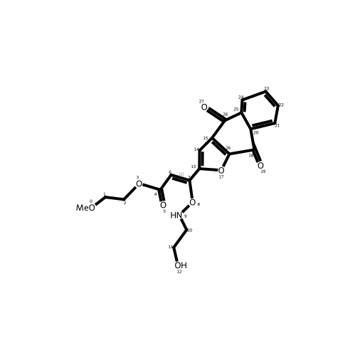 COCCOC(=O)/C=C(\ONCCO)c1cc2c(o1)C(=O)c1ccccc1C2=O